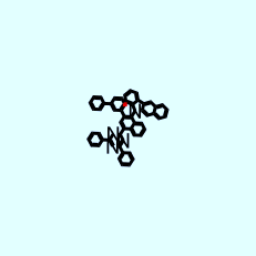 c1ccc(-c2cccc(-c3cc(-c4nc(-c5ccccc5)nc(-c5ccccc5)n4)c4ccccc4c3-n3c4ccccc4c4cc5ccccc5cc43)c2)cc1